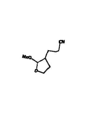 COC1OCCC1CCC#N